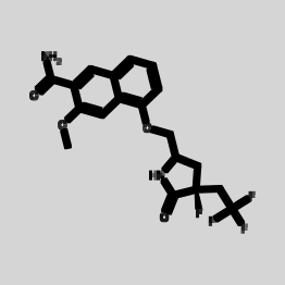 COc1cc2c(OCC3C[C@](F)(CC(F)(F)F)C(=O)N3)cccc2cc1C(N)=O